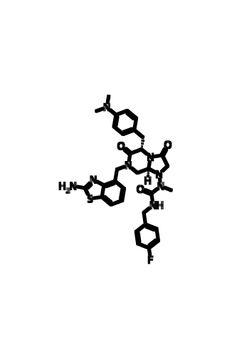 CN(C)c1ccc(C[C@H]2C(=O)N(Cc3cccc4sc(N)nc34)C[C@H]3N2C(=O)CN3N(C)C(=O)NCc2ccc(F)cc2)cc1